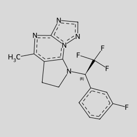 Cc1nc2ncnn2c2c1CCN2[C@H](c1cccc(F)c1)C(F)(F)F